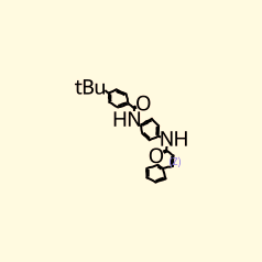 CC(C)(C)c1ccc(C(=O)Nc2ccc(NC(=O)/C=C\c3ccccc3)cc2)cc1